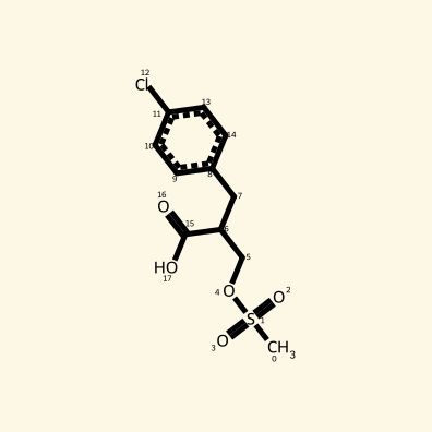 CS(=O)(=O)OCC(Cc1ccc(Cl)cc1)C(=O)O